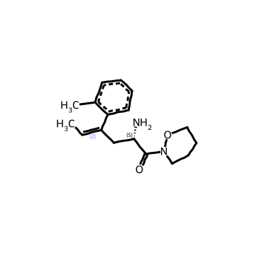 C/C=C(/C[C@H](N)C(=O)N1CCCCO1)c1ccccc1C